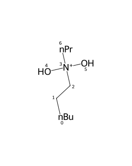 CCCCCC[N+](O)(O)CCC